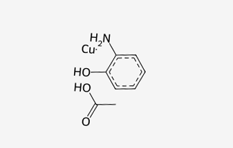 CC(=O)O.Nc1ccccc1O.[Cu]